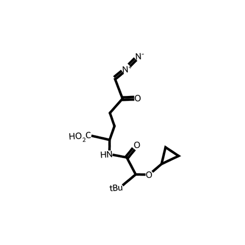 CC(C)(C)C(OC1CC1)C(=O)NC(CCC(=O)C=[N+]=[N-])C(=O)O